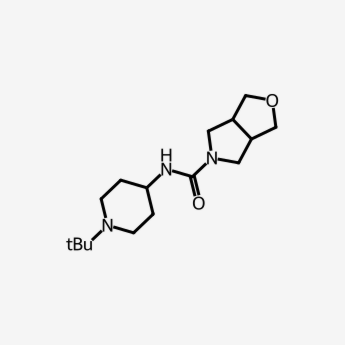 CC(C)(C)N1CCC(NC(=O)N2CC3COCC3C2)CC1